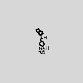 CC(C)S(=O)(=O)NC1CCC(CNc2ccc3c(c2)CCC3)CC1